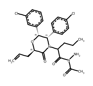 C=CC[C@H]1O[C@H](c2cccc(Cl)c2)[C@H](c2ccc(Cl)cc2)N(C(CCC)C(=O)N(N)C(C)=O)C1=O